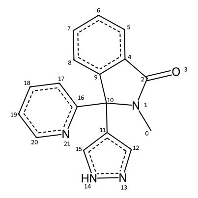 CN1C(=O)c2ccccc2C1(c1cn[nH]c1)c1ccccn1